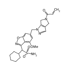 C=CC(=O)N1Cc2cnn(Cc3cc(OC)c4c(C(C5CCCCC5)S(N)(=O)=O)noc4c3)c2C1